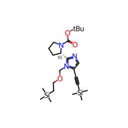 CC(C)(C)OC(=O)N1CCC[C@H]1c1ncc(C#C[Si](C)(C)C)n1COCC[Si](C)(C)C